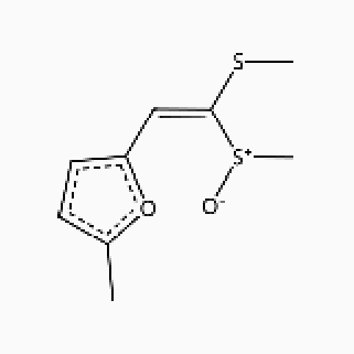 CSC(=Cc1ccc(C)o1)[S+](C)[O-]